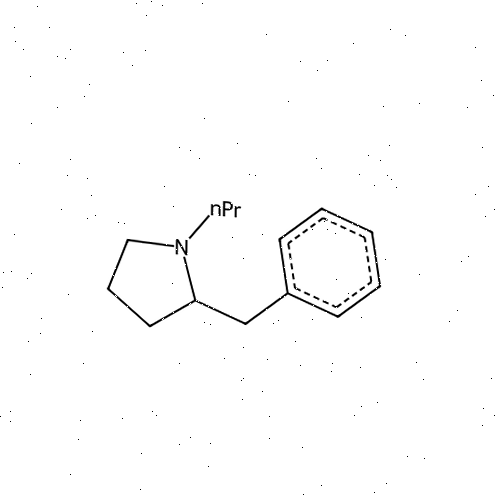 CCCN1CCCC1Cc1ccccc1